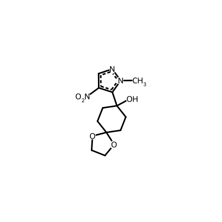 Cn1ncc([N+](=O)[O-])c1C1(O)CCC2(CC1)OCCO2